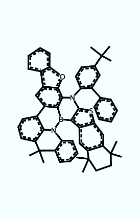 CC(C)(C)c1ccc(N2c3sc4cc5c(cc4c3B3c4c(cc6c(oc7ccccc76)c42)-c2cccc4c2N3c2ccccc2C4(C)C)C(C)(C)CCC5(C)C)c(-c2ccccc2)c1